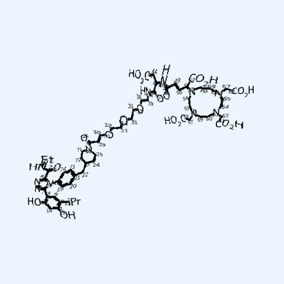 CCNC(=O)c1nnc(-c2cc(C(C)C)c(O)cc2O)n1-c1ccc(CC2CCN(C(=O)CCOCCOCCOCCNC(=O)C(CC(=O)O)NC(=O)CCC(C(=O)O)N3CCN(CC(=O)O)CCN(CC(=O)O)CCN(CC(=O)O)CC3)CC2)cc1